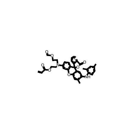 C=CC(=O)OCCN(CCOC=O)c1ccc2c(c1)Oc1cc(C)c(Nc3ccc(C)cc3C)cc1C21OC(=O)c2ccccc21